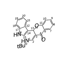 CC(C)(C)NC=C1C(=O)c2ccccc2OC1c1c[nH]c2ccccc12